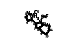 Cn1nccc1-c1cc2cccnc2n1SF